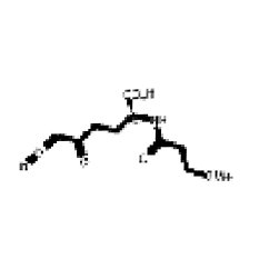 COCCC(=O)N[C@@H](CCC(=O)C=[N+]=[N-])C(=O)O